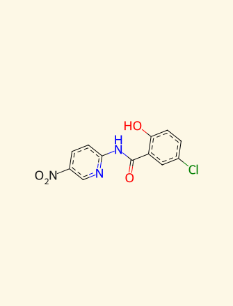 O=C(Nc1ccc([N+](=O)[O-])cn1)c1cc(Cl)ccc1O